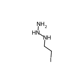 NNNCCI